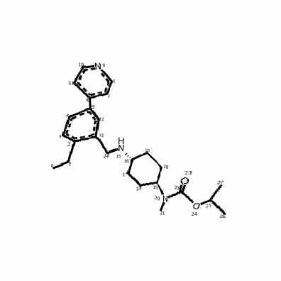 CCc1ccc(-c2ccncc2)cc1CN[C@H]1CC[C@H](N(C)C(=O)OC(C)C)CC1